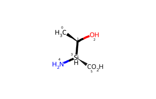 C[C@@H](O)[Si@H](N)C(=O)O